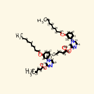 CCCCCCCCCOc1cccc(N2C=C(OC(=O)CCCC)N=CC2)c1.CCCCCCCCOc1cccc(N2C=C(OC(=O)CCCC)N=CC2)c1